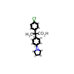 CC(C(=O)O)(c1ccc(Cl)cc1)c1ccc(N2CCCC2)cc1